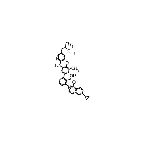 CC(C)Cc1ccc(Nc2nc(-c3cccc(-n4ccc5cc(C6CC6)ccc5c4=O)c3CO)cn(C)c2=O)nc1